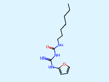 CCCCCCCNC(=O)NC(=N)Nc1ccco1